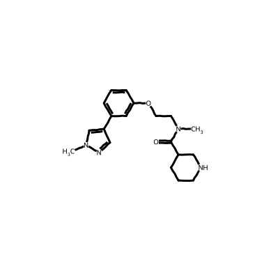 CN(CCOc1c[c]cc(-c2cnn(C)c2)c1)C(=O)C1CCCNC1